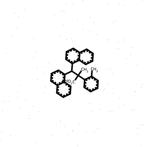 Cc1ccccc1C(C)(C(=O)O)C(c1cccc2ccccc12)c1cccc2ccccc12